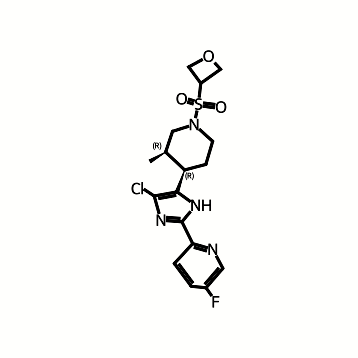 C[C@H]1CN(S(=O)(=O)C2COC2)CC[C@H]1c1[nH]c(-c2ccc(F)cn2)nc1Cl